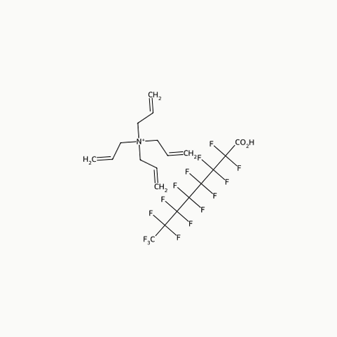 C=CC[N+](CC=C)(CC=C)CC=C.O=C(O)C(F)(F)C(F)(F)C(F)(F)C(F)(F)C(F)(F)C(F)(F)C(F)(F)F